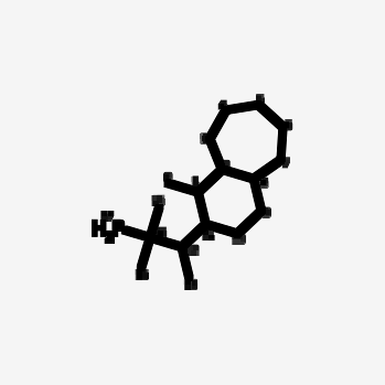 CC1C2CCCCCC2CCC1C(C)C(C)(C)P